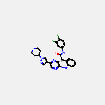 Nc1ncc(-c2cnn(C3CCNCC3)c2)nc1[C@H](C(=O)Nc1ccc(F)c(F)c1)c1ccccc1